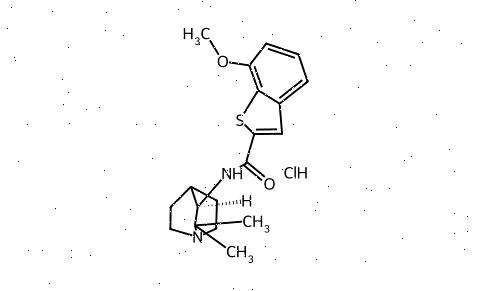 COc1cccc2cc(C(=O)N[C@@H]3C4CCN(CC4)C3(C)C)sc12.Cl